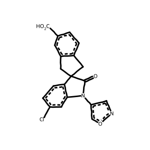 O=C(O)c1ccc2c(c1)CC1(C2)C(=O)N(c2cnoc2)c2cc(Cl)ccc21